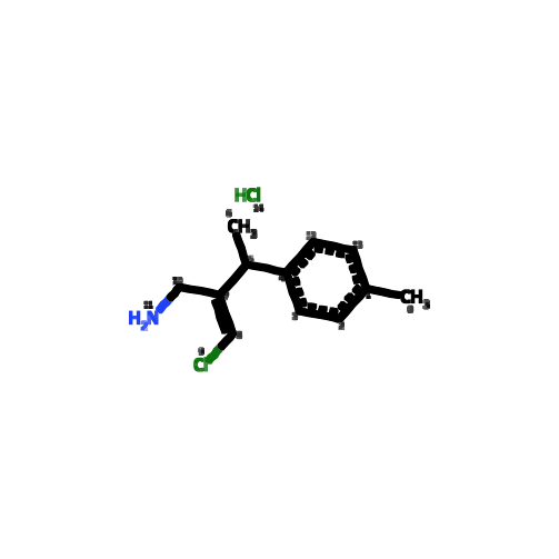 Cc1ccc(C(C)C(=CCl)CN)cc1.Cl